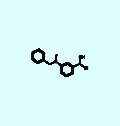 CCC(O)c1cccc(N(C)Cc2ccccc2)c1